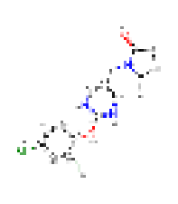 C[C@H]1CCC(=O)N1Cc1cnc(Oc2ccc(Cl)cc2F)nc1